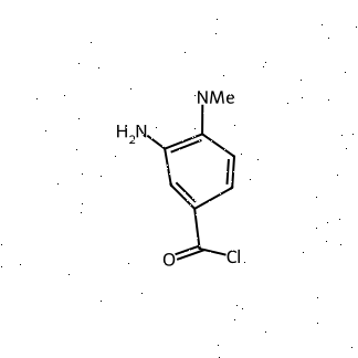 CNc1ccc(C(=O)Cl)cc1N